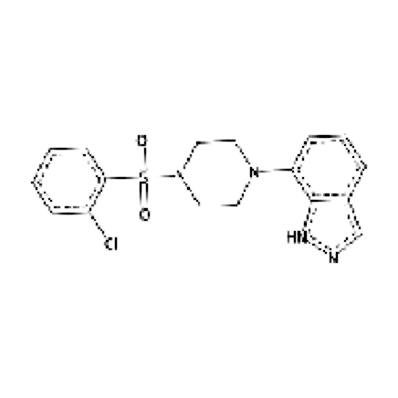 O=S(=O)(c1ccccc1Cl)N1CCN(c2cccc3cn[nH]c23)CC1